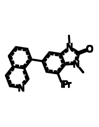 CC(C)c1cc(-c2cccc3ccncc23)cc2c1n(C)c(=O)n2C